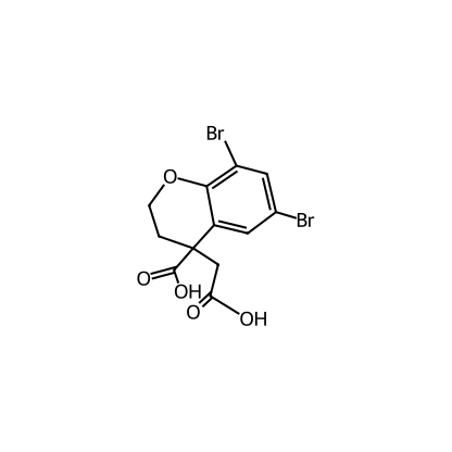 O=C(O)CC1(C(=O)O)CCOc2c(Br)cc(Br)cc21